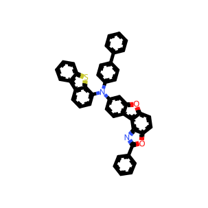 c1ccc(-c2ccc(N(c3ccc4c(c3)oc3ccc5oc(-c6ccccc6)nc5c34)c3cccc4c3sc3ccccc34)cc2)cc1